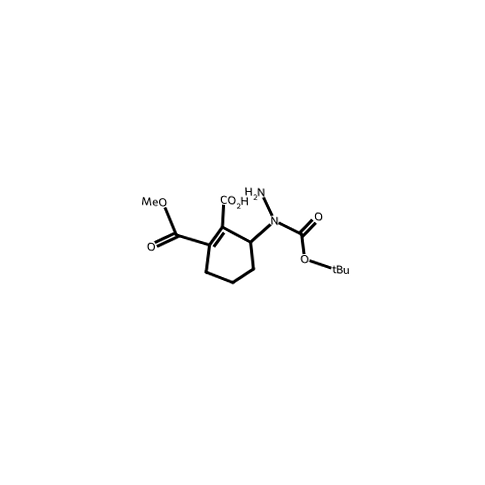 COC(=O)C1=C(C(=O)O)C(N(N)C(=O)OC(C)(C)C)CCC1